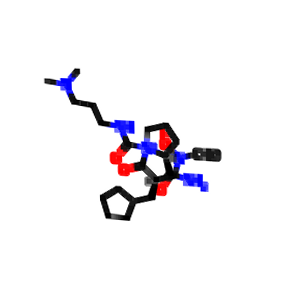 CN(C)CCCNC(=O)[N+]1(C(=O)[C@H](CC2CCCC2)CN(O)C=O)CCC[C@H]1C(N)=O